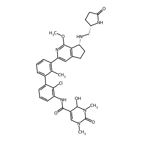 COc1nc(-c2cccc(-c3cccc(NC(=O)C4=CN(C)C(=O)N(C)C4O)c3Cl)c2C)cc2c1[C@H](NC[C@@H]1CCC(=O)N1)CC2